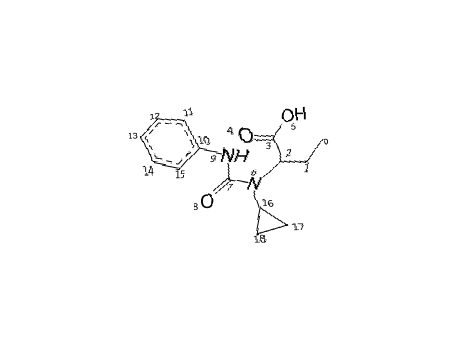 CCC(C(=O)O)N(C(=O)Nc1ccccc1)C1CC1